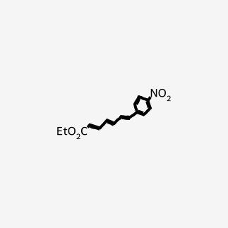 CCOC(=O)C=CC=CC=Cc1ccc([N+](=O)[O-])cc1